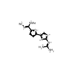 CNC(=NC#N)c1ccc(-c2csc(N=C(N)N)n2)o1